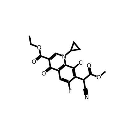 CCOC(=O)c1cn(C2CC2)c2c(Cl)c(C(C#N)C(=O)OC)c(F)cc2c1=O